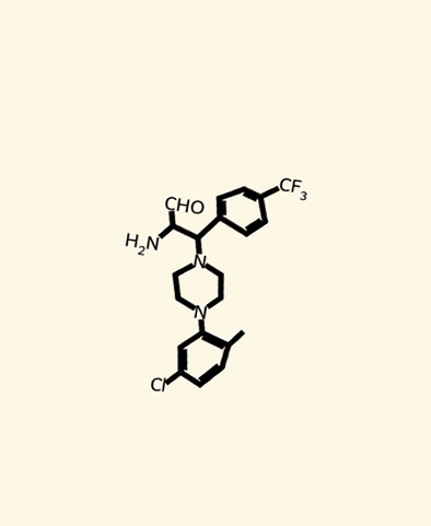 Cc1ccc(Cl)cc1N1CCN(C(c2ccc(C(F)(F)F)cc2)C(N)C=O)CC1